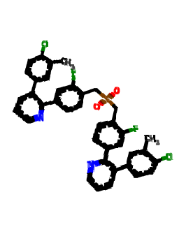 Cc1cc(-c2cccnc2-c2ccc(CS(=O)(=O)Cc3ccc(-c4ncccc4-c4ccc(Cl)c(C)c4)cc3F)c(F)c2)ccc1Cl